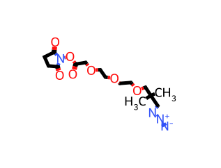 CC(C)(CN=[N+]=[N-])COCCOCCOCC(=O)ON1C(=O)CCC1=O